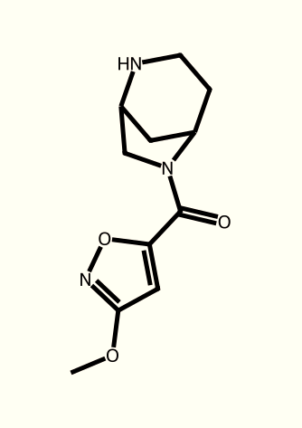 COc1cc(C(=O)N2CC3CC2CCN3)on1